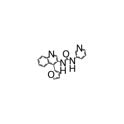 O=C(Nc1cccnc1)Nc1cnc2ccccc2c1-c1ccco1